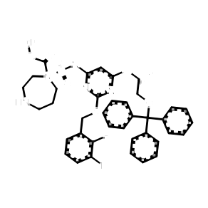 C[C@H](COC(c1ccccc1)(c1ccccc1)c1ccccc1)Oc1cc(NS(=O)(=O)[N+]2(C(=O)OC(C)(C)C)CCCNCC2)nc(SCc2cccc(F)c2F)n1